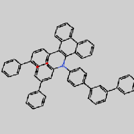 c1ccc(-c2ccc(-c3c(N(c4ccc(-c5cccc(-c6ccccc6)c5)cc4)c4cccc(-c5ccccc5)c4)c4ccccc4c4ccccc34)cc2)cc1